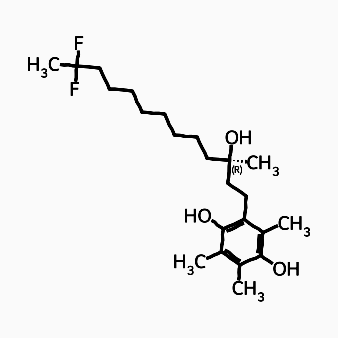 Cc1c(C)c(O)c(CC[C@](C)(O)CCCCCCCCC(C)(F)F)c(C)c1O